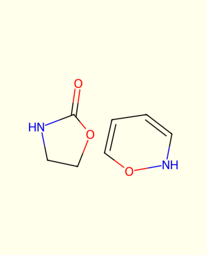 C1=CNOC=C1.O=C1NCCO1